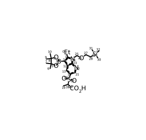 CCc1c(B2OC(C)(C)C(C)(C)O2)c2cc(S(=O)(=O)C(C)C(=O)O)cnc2n1COCC[Si](C)(C)C